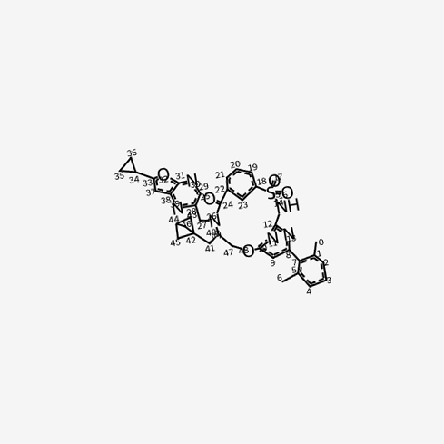 Cc1cccc(C)c1-c1cc2nc(n1)NS(=O)(=O)c1cccc(c1)C(=O)N(Cc1cnc3oc(C4CC4)cc3n1)[C@H](CC13CC(C1)C3)CO2